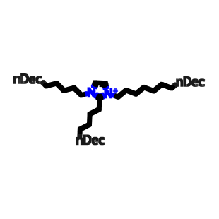 CCCCCCCCCCCCCCCCC[n+]1ccn(CCCCCCCCCCCCCCC)c1CCCCCCCCCCCCCC